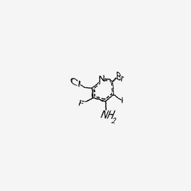 Nc1c(F)c(Cl)nc(Br)c1I